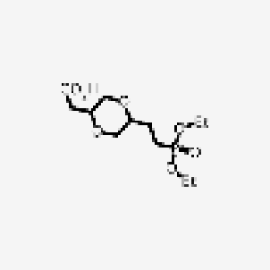 CCOP(=O)(CCC1COC(CC(=O)O)CO1)OCC